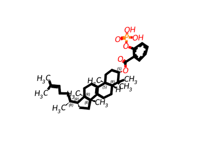 CC(C)=CCC[C@@H](C)[C@H]1CC[C@@]2(C)C3=C(CC[C@]12C)[C@@]1(C)CC[C@H](OC(=O)c2ccccc2OP(=O)(O)O)C(C)(C)[C@@H]1CC3